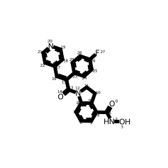 O=C(NO)c1cccc2c1CCN2C(=O)/C(=C/c1ccncc1)c1ccc(F)cc1